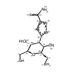 BS[C@H]1OC(CO)[C@H](O)C(n2cc(C(N)=S)nn2)C1O